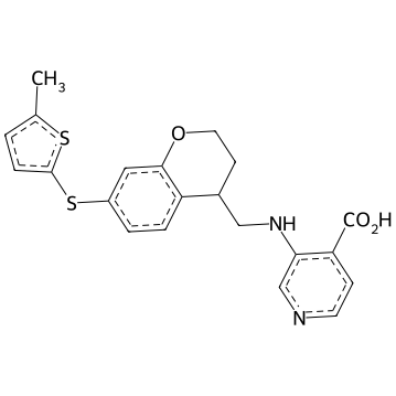 Cc1ccc(Sc2ccc3c(c2)OCCC3CNc2cnccc2C(=O)O)s1